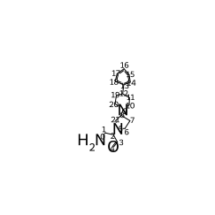 NCC(C=O)N1CCC(N2CCC(c3ccccc3)CC2)C1